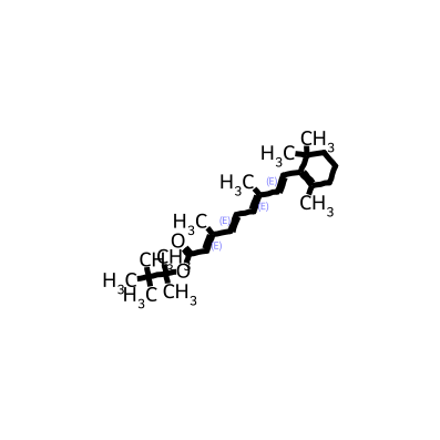 CC1=C(/C=C/C(C)=C/C=C/C(C)=C/C(=O)OC(C)(C)C(C)(C)C)C(C)(C)CCC1